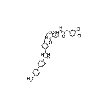 Cc1ccc(-c2ccc(-c3nc(-c4ccc(CN(CC(=O)O)C(=O)c5ccc(NC(=O)Cc6ccc(Cl)c(Cl)c6)cc5)cc4)no3)cc2)cc1